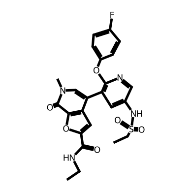 CCNC(=O)c1cc2c(-c3cc(NS(=O)(=O)CC)cnc3Oc3ccc(F)cc3)cn(C)c(=O)c2o1